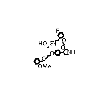 COc1ccccc1COCCCOc1ccc(C2CCNCC2OCCOc2ccc(F)cc2CCN(C)C(=O)O)cc1